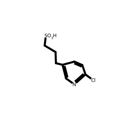 O=S(=O)(O)CCCc1ccc(Cl)nc1